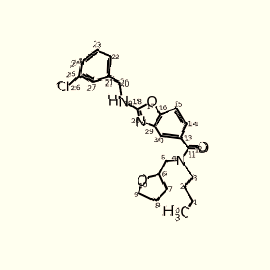 CCCCN(CC1CCCO1)C(=O)c1ccc2oc(NCc3cccc(Cl)c3)nc2c1